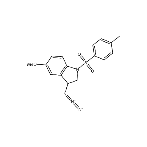 COc1ccc2c(c1)C(N=[N+]=[N-])CN2S(=O)(=O)c1ccc(C)cc1